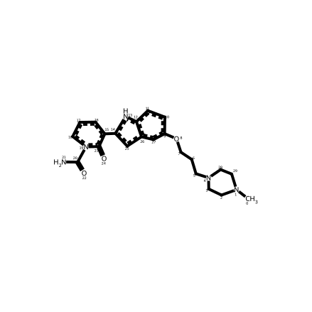 CN1CCN(CCCOc2ccc3[nH]c(-c4c[c]cn(C(N)=O)c4=O)cc3c2)CC1